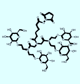 O=C(CCCCC(=O)N(CC(=O)N(CCO[C@H]1O[C@H](CO)[C@@H](O)[C@H](O)[C@@H]1O)CCO[C@H]1O[C@H](CO)[C@@H](O)[C@H](O)[C@@H]1O)CC(=O)N(CCO[C@H]1O[C@H](CO)[C@@H](O)[C@H](O)[C@@H]1O)CCO[C@H]1O[C@H](CO)[C@@H](O)[C@H](O)[C@@H]1O)ON1C(=O)CCC1=O